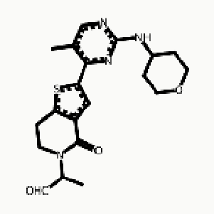 Cc1cnc(NC2CCOCC2)nc1-c1cc2c(s1)CCN(C(C)C=O)C2=O